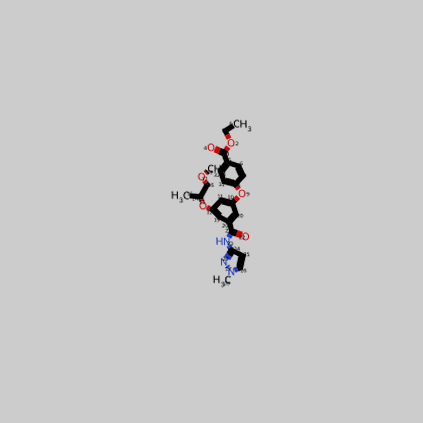 CCOC(=O)c1ccc(Oc2cc(OC(C)COC)cc(C(=O)Nc3ccn(C)n3)c2)cc1